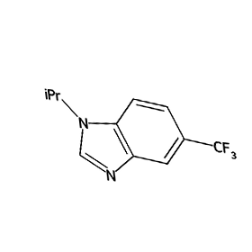 CC(C)n1cnc2cc(C(F)(F)F)ccc21